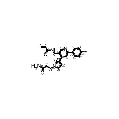 C=CC(=O)NCc1cnc(-c2ccc(F)cc2)cc1-c1ccn(CCC(N)=O)n1